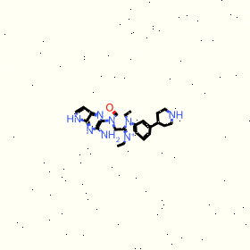 CCn1c(CN(C=O)c2nc3cc[nH]c3nc2N)[n+](CC)c2ccc(C3CCNCC3)cc21